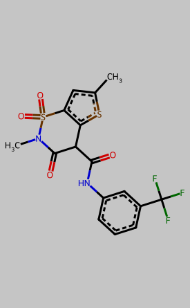 Cc1cc2c(s1)C(C(=O)Nc1cccc(C(F)(F)F)c1)C(=O)N(C)S2(=O)=O